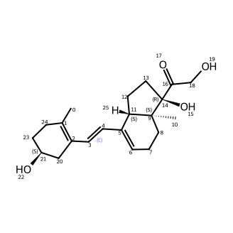 CC1=C(/C=C/C2=CCC[C@@]3(C)[C@H]2CC[C@]3(O)C(=O)CO)C[C@@H](O)CC1